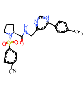 N#Cc1ccc(S(=O)(=O)N2CCC[C@H]2C(=O)NCc2cc(-c3ccc(C(F)(F)F)cc3)ncn2)cc1